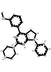 COc1cccc(-c2nc(N3CCOCC3)nc3c2CCN3c2ccccn2)c1